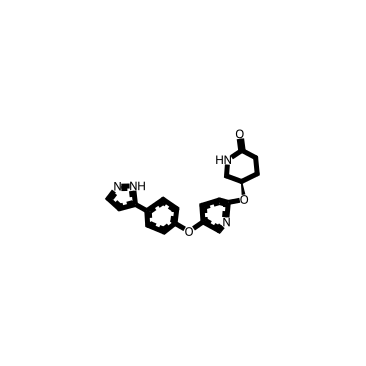 O=C1CC[C@@H](Oc2ccc(Oc3ccc(-c4ccn[nH]4)cc3)cn2)CN1